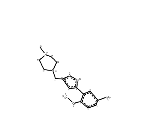 CCCc1ccc(OC(F)(F)F)c(-c2cc(CN3CCN(C)CC3)on2)c1